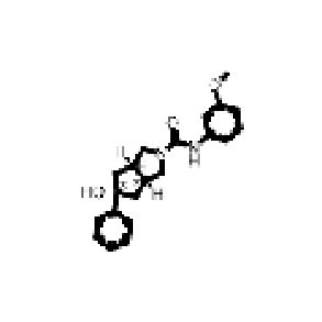 COc1cccc(NC(=O)N2C[C@@H]3C[C@@](O)(c4ccccc4)C[C@@H]3C2)c1